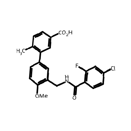 COc1ccc(-c2cc(C(=O)O)ccc2C)cc1CNC(=O)c1ccc(Cl)cc1F